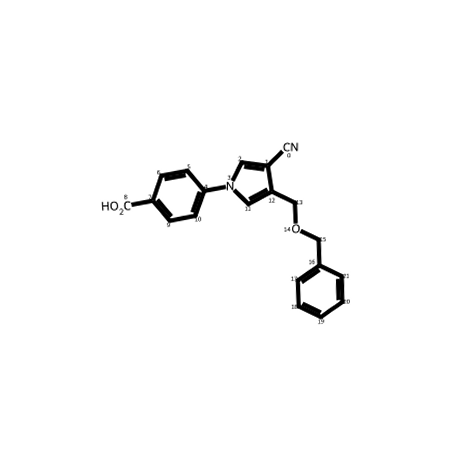 N#Cc1cn(-c2ccc(C(=O)O)cc2)cc1COCc1ccccc1